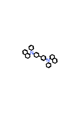 C1=CCCC(N(C2=CCC(C3C=CC(N(C4=C5C=CC=CC5CCC4)C4C=CC=CC4)CC3)C=C2)C2=CCCC3=C2CCC=C3)=C1